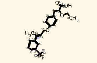 CCOC(Cc1ccc(OC/C=C(\C)c2cccc(C(F)(F)F)c2)cc1)C(=O)O